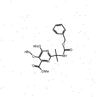 CCCCOc1c(OC)nc(C(C)(C)NC(=O)OCc2ccccc2)nc1C(=O)OC